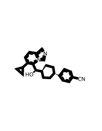 N#Cc1ccc([C@H]2CC[C@H]([C@@H](O)c3c(C4CC4)ccc4cncn34)CC2)cc1